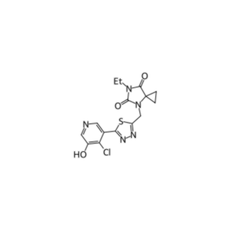 CCN1C(=O)N(Cc2nnc(-c3cncc(O)c3Cl)s2)C2(CC2)C1=O